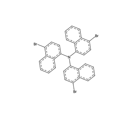 Brc1ccc(N(c2ccc(Br)c3ccccc23)c2ccc(Br)c3ccccc23)c2ccccc12